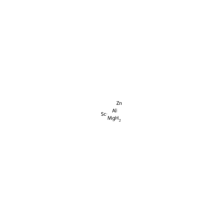 [Al].[MgH2].[Sc].[Zn]